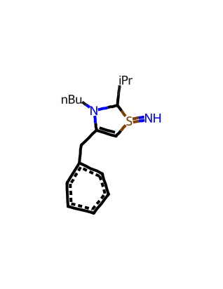 CCCCN1C(Cc2ccccc2)=CS(=N)C1C(C)C